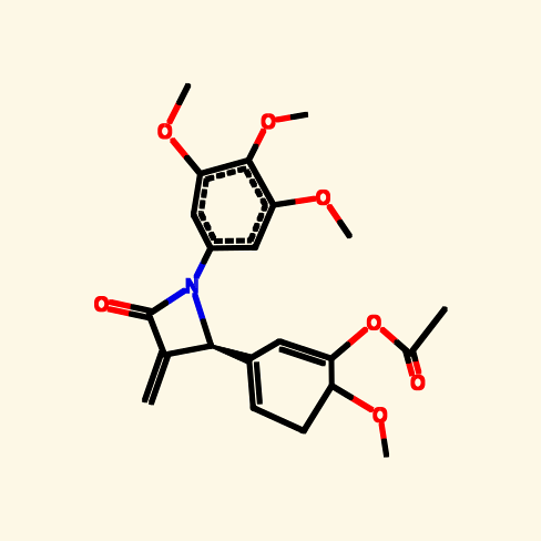 C=C1C(=O)N(c2cc(OC)c(OC)c(OC)c2)[C@H]1C1=CCC(OC)C(OC(C)=O)=C1